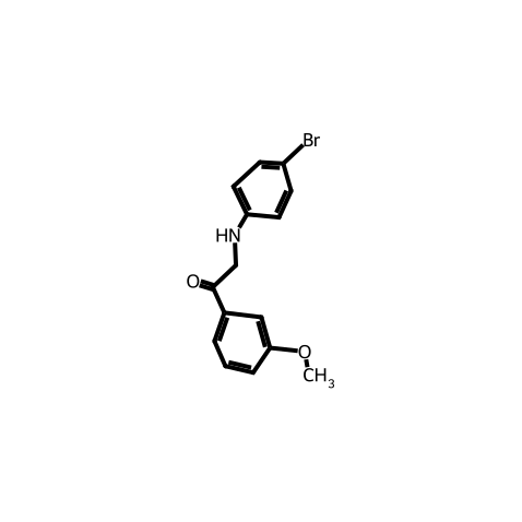 COc1cccc(C(=O)CNc2ccc(Br)cc2)c1